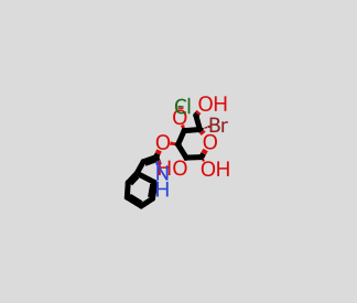 OC[C@@]1(Br)O[C@H](O)[C@H](O)[C@@H](Oc2cc3ccccc3[nH]2)[C@H]1OCl